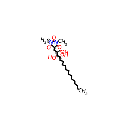 CCCCCCCCCCCCCC[C@@H](O)[C@@H](O)[C@@H](C=C1C(=O)N(C)C(=O)N(C)C1=O)CO